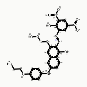 O=[N+]([O-])c1cc(/N=N/c2c(SOOO)cc3cc(Nc4ccc(OCCO)cc4)ccc3c2O)c(O)c([N+](=O)[O-])c1